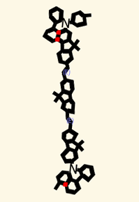 Cc1ccc(N(c2ccc3c(c2)C(C)(C)c2cc(/C=C/c4ccc5c(c4)C(C)(C)c4cc(/C=C/c6ccc7c(c6)C(C)(C)c6cc(N(c8ccc(C)cc8)c8ccccc8-c8ccccc8)ccc6-7)ccc4-5)ccc2-3)c2ccccc2-c2ccccc2)cc1